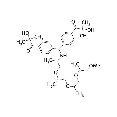 COCC(C)OCC(C)OCC(C)OCC(C)NC(c1ccc(C(=O)C(C)(C)O)cc1)c1ccc(C(=O)C(C)(C)O)cc1